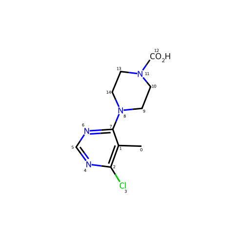 Cc1c(Cl)ncnc1N1CCN(C(=O)O)CC1